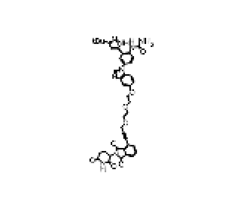 CC(C)(C)c1cc(-c2cc(-n3cnc4cc(OCCOCCOCC#Cc5cccc6c5C(=O)N(C5CCC(=O)NC5=O)C6=O)ccc43)ccc2NC(N)=O)[nH]n1